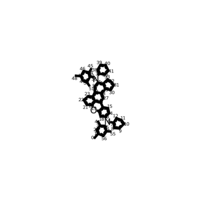 Cc1cc(C)c(N(c2ccccc2)c2ccc3c(c2)Oc2cccc4c2c-3cc2c3ccccc3c(N(c3ccccc3)c3c(C)cc(C)cc3C)cc42)c(C)c1